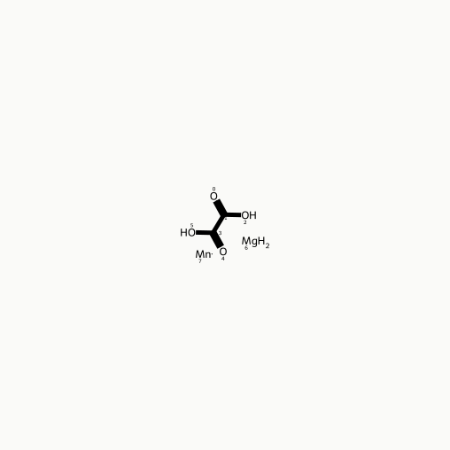 O=C(O)C(=O)O.[MgH2].[Mn]